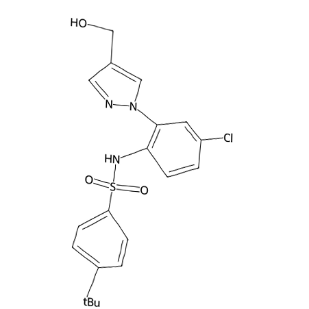 CC(C)(C)c1ccc(S(=O)(=O)Nc2ccc(Cl)cc2-n2cc(CO)cn2)cc1